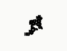 CCOC(=O)C[C@@H](c1cc(CN2Cc3nc(O)ccc3C[C@H](CC)C2)c2sccc2c1)c1ccc2c(nnn2C)c1Cl